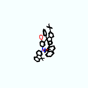 CC(C)(C)c1ccc2c(c1)C1(c3ccccc3Oc3ccc(N(c4ccc5c(c4)C(C)(C)c4ccccc4-5)c4cccc5ccccc45)cc31)c1cc(C(C)(C)C)ccc1-2